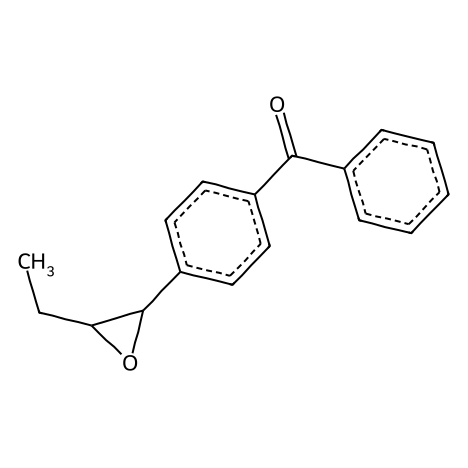 CCC1OC1c1ccc(C(=O)c2ccccc2)cc1